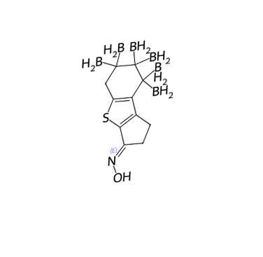 BC1(B)Cc2sc3c(c2C(B)(B)C1(B)B)CC/C3=N\O